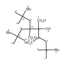 CC(C)(C)C(C)(C)CC(C(=O)O)C(O)(C(=O)O)C(CC(C)(C)C(C)(C)C)(CC(C)(C)C(C)(C)C)C(=O)O